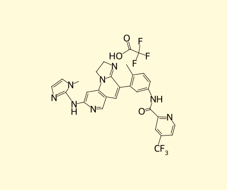 Cc1ccc(NC(=O)c2cc(C(F)(F)F)ccn2)cc1C1=Cc2cnc(Nc3nccn3C)cc2N2CCN=C12.O=C(O)C(F)(F)F